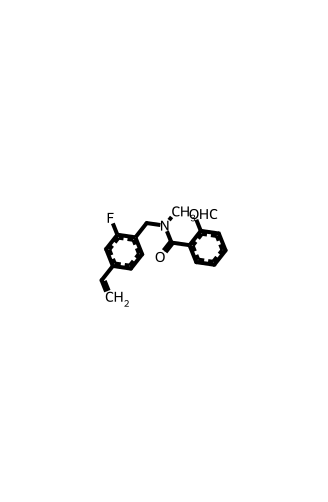 C=Cc1ccc(CN(C)C(=O)c2ccccc2C=O)c(F)c1